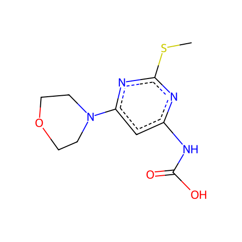 CSc1nc(NC(=O)O)cc(N2CCOCC2)n1